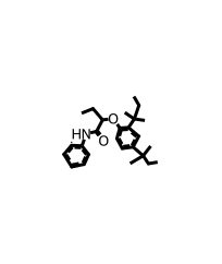 CCC(Oc1ccc(C(C)(C)CC)cc1C(C)(C)CC)C(=O)Nc1[c]cccc1